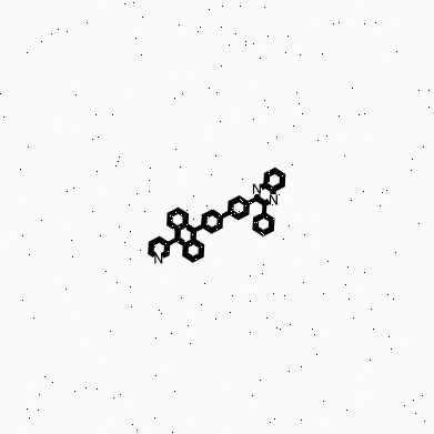 c1ccc(-c2nc3ccccc3nc2-c2ccc(-c3ccc(-c4c5ccccc5c(-c5cccnc5)c5ccccc45)cc3)cc2)cc1